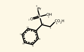 CC(C)P(=O)(O)C(CC(=O)O)c1ccccc1